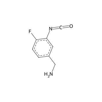 NCc1ccc(F)c(N=C=O)c1